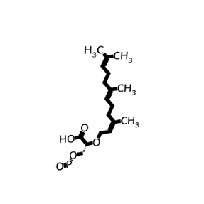 CC(C)=CCC/C(C)=C/CC/C(C)=C\CO[C@H](COP=O)C(=O)O